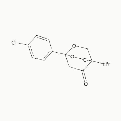 CCCC12COC(c3ccc(Cl)cc3)(CC1=O)OC2